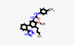 CC/C=C/Cc1cc(-c2ccccc2-c2nnn[nH]2)cc(NC(=O)Nc2ccc(C)cc2)c1OCCC